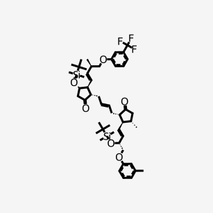 Cc1cccc(OC[C@@H](/C=C/[C@H]2[C@H](C/C=C/C[C@@H]3C(=O)C[C@H](O[Si](C)(C)C(C)(C)C)[C@H]3/C=C/[C@@H](C)COc3cccc(C(F)(F)F)c3)C(=O)C[C@@H]2C)O[Si](C)(C)C(C)(C)C)c1